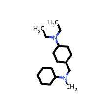 CCN(CC)C1CCC(CN(C)C2CCCCC2)CC1